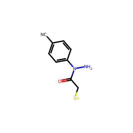 N#Cc1ccc(N(N)C(=O)CS)cc1